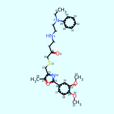 CCN(CCNCCC(=O)CSCc1nc(-c2ccc(OC)c(OC)c2)oc1C)c1ccccc1